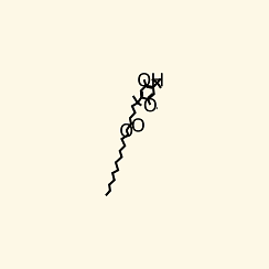 CCCCCCCCCCCCOC(=O)CCCC(C)(C)c1cc(O)c(C(C)(C)C)cc1OC